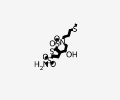 CSCCCN1CC(O)c2cc(S(N)(=O)=O)sc2S1(=O)=O